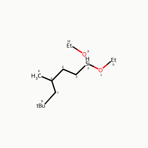 CCO[SiH](CCC(C)CC(C)(C)C)OCC